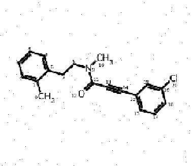 Cc1ccccc1CCN(C)C(=O)C#Cc1cccc(Cl)c1